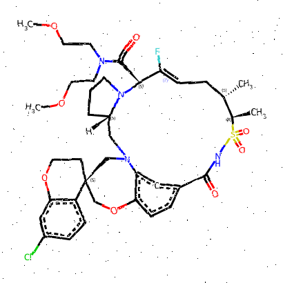 COCCN(CCOC)C(=O)[C@H]1/C(F)=C/C[C@H](C)[C@@H](C)S(=O)(=O)NC(=O)c2ccc3c(c2)N(C[C@@H]2CCCN21)C[C@@]1(CCOc2cc(Cl)ccc21)CO3